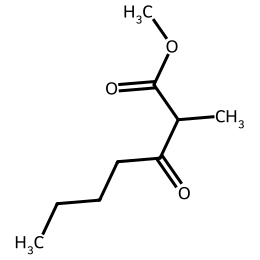 CCCCC(=O)C(C)C(=O)OC